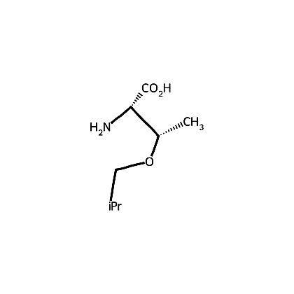 CC(C)CO[C@@H](C)[C@H](N)C(=O)O